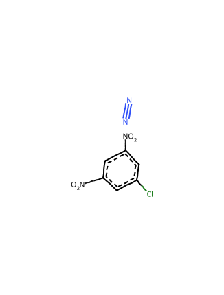 N#N.O=[N+]([O-])c1cc(Cl)cc([N+](=O)[O-])c1